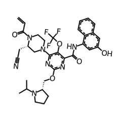 C=CC(=O)N1CCN(c2nc(OC[C@@H]3CCCN3C(C)C)nc(C(=O)Nc3cc(O)cc4ccccc34)c2OC(F)(F)F)C[C@@H]1CC#N